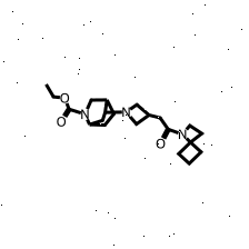 CCOC(=O)N1CC2CCC1CC2N1CC(CC(=O)N2CCC23CCC3)C1